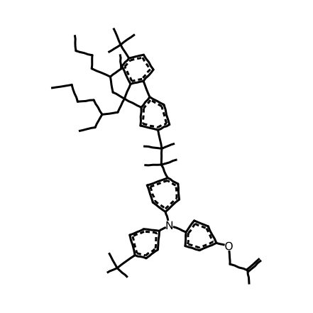 C=C(C)COc1ccc(N(c2ccc(C(C)(C)C)cc2)c2ccc(C(C)(C)C(C)(C)c3ccc4c(c3)C(CC(CC)CCCC)(CC(CC)CCCC)c3cc(C(C)(C)C)ccc3-4)cc2)cc1